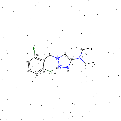 CCN(CC)c1cn(Cc2c(F)cccc2F)nn1